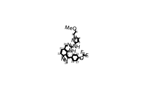 COCCn1ccc(NC2N=Cc3ccc4nn(C)c(-c5ccc(OC(F)F)cc5)c4c3N2)n1